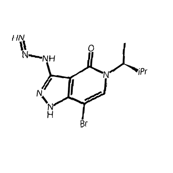 CC(C)[C@H](C)n1cc(Br)c2[nH]nc(NN=N)c2c1=O